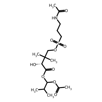 CC(=O)NCCCS(=O)(=O)OCC(C)(C)[C@@H](O)C(=O)OC(OC(C)=O)C(C)C